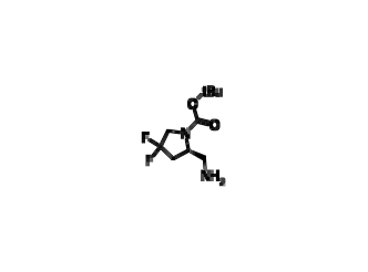 CC(C)(C)OC(=O)N1CC(F)(F)C[C@@H]1CN